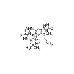 Cn1c(=O)nnn1-c1cc(Nc2ncc(F)c(N[C@@H]3C[C@@H]4CCCN4C(C)(C)C3)n2)c(F)cc1OCCN